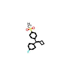 CS(=O)(=O)c1ccc(C(=C2CCC2)c2ccc(F)cc2)cc1